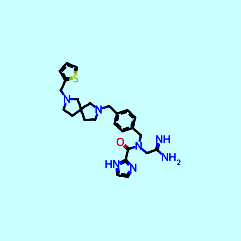 N=C(N)CN(Cc1ccc(CN2CCC3(CCN(Cc4cccs4)C3)C2)cc1)C(=O)c1ncc[nH]1